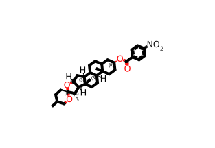 CC1CC[C@@]2(OC1)O[C@H]1C[C@H]3C4CCC5C[C@H](OC(=O)c6ccc([N+](=O)[O-])cc6)CCC5(C)[C@H]4CCC3(C)[C@H]1[C@@H]2C